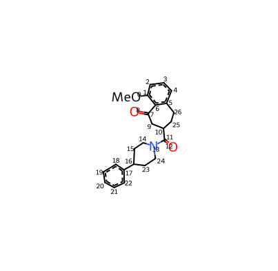 COc1cccc2c1C(=O)CC(C(=O)N1CCC(c3ccccc3)CC1)CC2